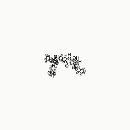 O=C(c1cc(S(=O)(=O)N2CCc3ccccc3C2)c(O)c(O)c1O)N1CCc2ccc(S(=O)(=O)N[C@@H](Cc3ccccc3)C(=O)N3CCN(C(=O)C(F)(F)F)CC3)cc2C1